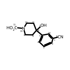 N#Cc1cccc(C2(O)CCN(C(=O)O)CC2)c1